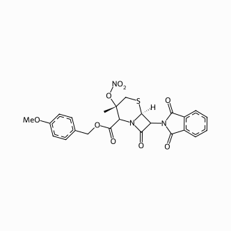 COc1ccc(COC(=O)C2N3C(=O)C(N4C(=O)c5ccccc5C4=O)[C@@H]3SC[C@@]2(C)O[N+](=O)[O-])cc1